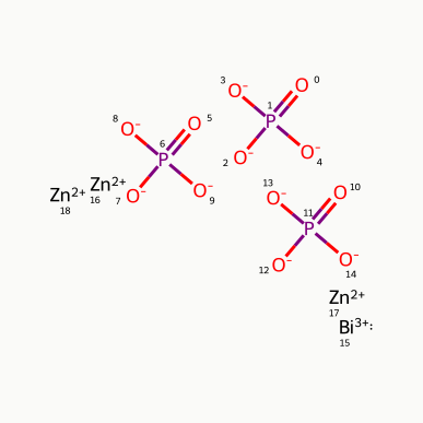 O=P([O-])([O-])[O-].O=P([O-])([O-])[O-].O=P([O-])([O-])[O-].[Bi+3].[Zn+2].[Zn+2].[Zn+2]